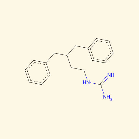 N=C(N)NCC[C](Cc1ccccc1)Cc1ccccc1